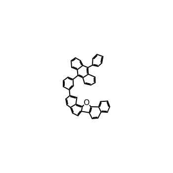 c1ccc(-c2c3ccccc3c(-c3cccc(-c4ccc5ccc6c7ccc8ccccc8c7oc6c5c4)c3)c3ccccc23)cc1